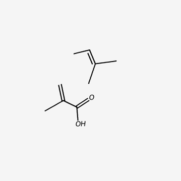 C=C(C)C(=O)O.CC=C(C)C